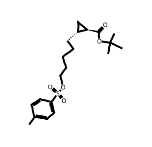 Cc1ccc(S(=O)(=O)OCCCCC[C@@H]2C[C@H]2C(=O)OC(C)(C)C)cc1